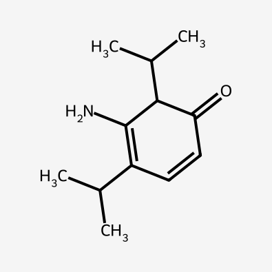 CC(C)C1=C(N)C(C(C)C)C(=O)C=C1